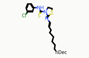 CCCCCCCCCCCCCCCCC=CN=C1SCCN1C(=S)Nc1cccc(Cl)c1